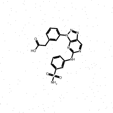 NS(=O)(=O)c1cccc(Nc2ncc3nnn(-c4cccc(CC(=O)O)c4)c3n2)c1